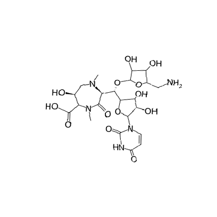 CN1C(=O)[C@H]([C@H](OC2OC(CN)C(O)C2O)C2OC(n3ccc(=O)[nH]c3=O)C(O)C2O)N(C)C[C@H](O)C1C(=O)O